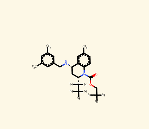 [2H]C([2H])([2H])COC(=O)N1c2ccc(C(F)(F)F)cc2[C@@H](NCc2cc(C(F)(F)F)cc(C(F)(F)F)c2)C[C@H]1C([2H])([2H])C([2H])([2H])[2H]